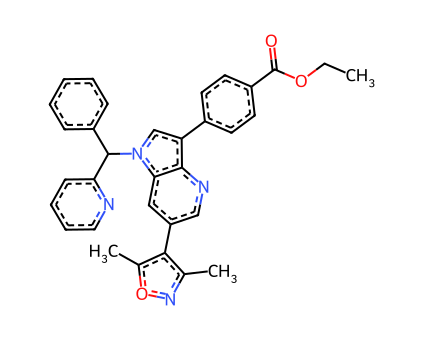 CCOC(=O)c1ccc(-c2cn(C(c3ccccc3)c3ccccn3)c3cc(-c4c(C)noc4C)cnc23)cc1